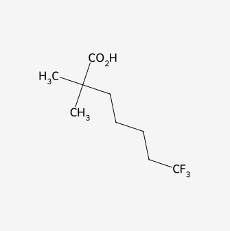 CC(C)(CCCCC(F)(F)F)C(=O)O